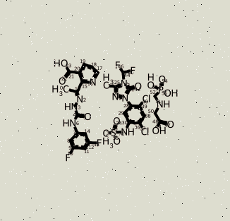 C/C(=N\NC(=O)Nc1cc(F)cc(F)c1)c1ncccc1C(=O)O.Cc1nn(-c2cc(NS(C)(=O)=O)c(Cl)cc2Cl)c(=O)n1C(F)F.O=C(O)CNCP(=O)(O)O